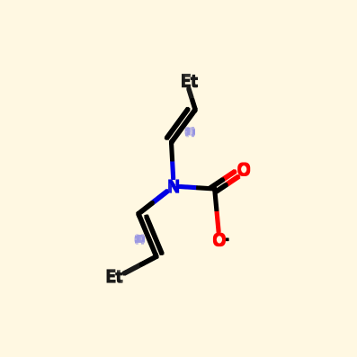 CC/C=C/N(/C=C/CC)C([O])=O